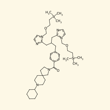 C[Si](C)(C)CCOCn1ccnc1CC(Cc1ccc(C(=O)N2CCC3(CCN(C4CCCCC4)CC3)C2)cc1)Cc1nccn1COCC[Si](C)(C)C